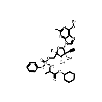 C#C[C@]1(O)[C@H](n2cnc3c(OCC)nc(C)nc32)O[C@](F)(CO[P@](=O)(NC(C)C(=O)OC2CCCCC2)Oc2ccccc2)[C@H]1O